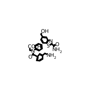 NC(=O)c1nc2cc(CO)ccc2s1.NCc1cccc(C(=O)N(CC(=O)O)c2ccccc2)c1